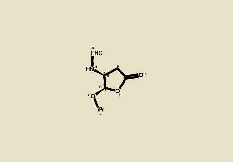 CC(C)O[C@@H]1OC(=O)C[C@@H]1NC=O